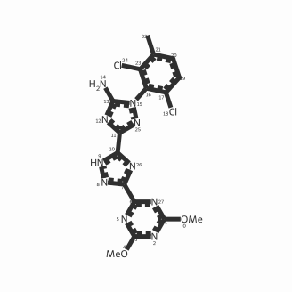 COc1nc(OC)nc(-c2n[nH]c(-c3nc(N)n(-c4c(Cl)ccc(C)c4Cl)n3)n2)n1